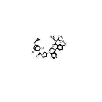 CCN(C(=O)c1cc(F)ccc1N1CCN([C@@H]2CCN(C(=O)[C@H]3NC4C[C@@H]3C[C@H]4CC3CC3)C2)c2ncncc21)C(C)C